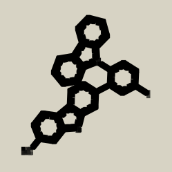 N#Cc1ccc2c(c1)sc1cc(-c3cc(I)ccc3-n3c4ccccc4c4ccccc43)ccc12